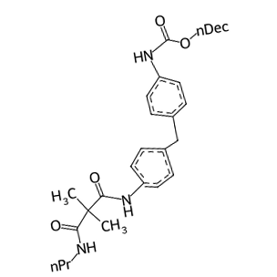 CCCCCCCCCCOC(=O)Nc1ccc(Cc2ccc(NC(=O)C(C)(C)C(=O)NCCC)cc2)cc1